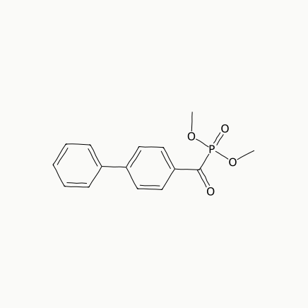 COP(=O)(OC)C(=O)c1ccc(-c2ccccc2)cc1